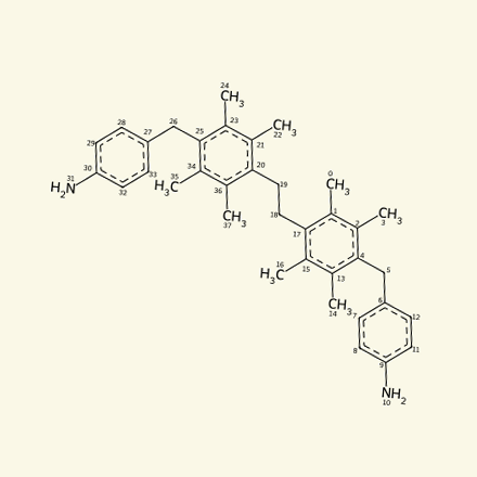 Cc1c(C)c(Cc2ccc(N)cc2)c(C)c(C)c1CCc1c(C)c(C)c(Cc2ccc(N)cc2)c(C)c1C